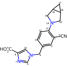 N#Cc1cc(Cn2cnc(C(=O)O)c2)ccc1N1CC2CC2C1